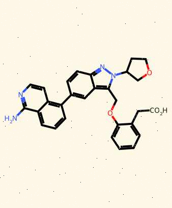 Nc1nccc2c(-c3ccc4nn(C5CCOC5)c(COc5ccccc5CC(=O)O)c4c3)cccc12